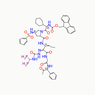 CCC[C@H](NC(=O)C1C[C@@H](NS(=O)(=O)c2ccccc2)CN1C(=O)[C@H](NC(=O)OCC1c2ccccc2-c2ccccc21)C1CCCCC1)C(=NNC(=O)NC(P)P)C(=O)NCC(=O)N[C@H](C(C)=O)c1ccccc1